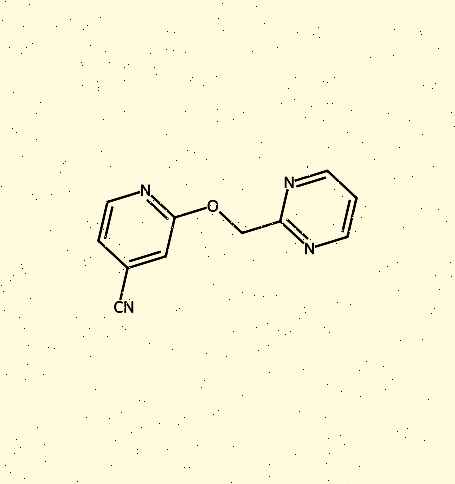 N#Cc1ccnc(OCc2ncccn2)c1